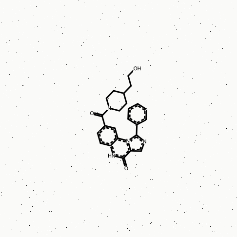 O=C(c1ccc2[nH]c(=O)c3cnc(-c4ccccc4)n3c2c1)N1CCC(CCO)CC1